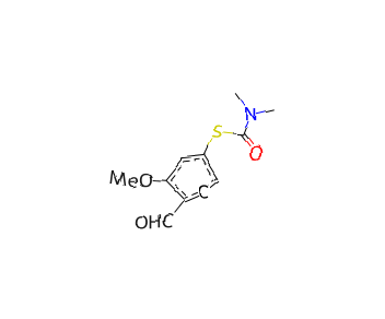 COc1cc(SC(=O)N(C)C)ccc1C=O